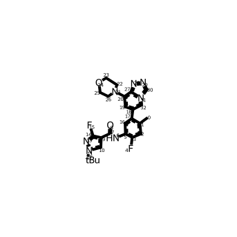 Cc1cc(F)c(NC(=O)c2cn(C(C)(C)C)nc2F)cc1-c1cc(N2CCOCC2)c2nncn2c1